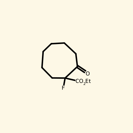 CCOC(=O)C1(F)CCCCCCC1=O